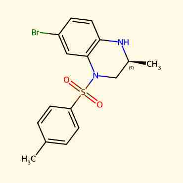 Cc1ccc(S(=O)(=O)N2C[C@H](C)Nc3ccc(Br)cc32)cc1